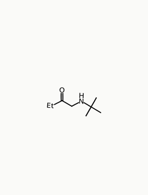 CCC(=O)CNC(C)(C)C